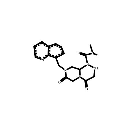 CN(C)C(=O)N1NCC(=O)N2CC(=O)N(Cc3cccc4cccnc34)CC21